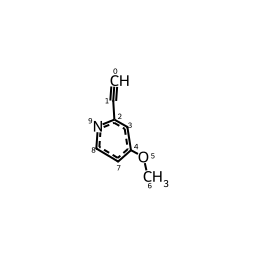 C#Cc1cc(OC)ccn1